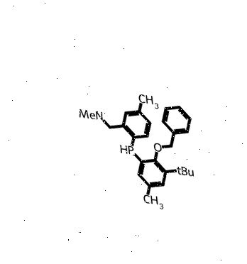 CNCc1cc(C)ccc1Pc1cc(C)cc(C(C)(C)C)c1OCc1ccccc1